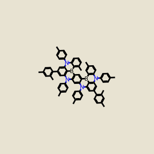 Cc1ccc(N2c3ccc(C)cc3B3c4cc5c(cc4N(c4ccc(C)cc4)c4cc(-c6ccc(C)cc6C)cc2c43)N(c2ccc(C)cc2)c2cc(-c3ccc(C)cc3C)cc3c2B5c2c(C)cccc2N3c2ccc(C)cc2)cc1